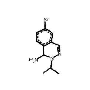 CC(C)N1N=Cc2cc(Br)ccc2C1N